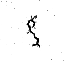 CC(C)=CCC[C@H](C)[C@@H]1C=C[C@@](C)(O)CC1